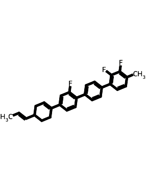 C/C=C/C1CC=C(c2ccc(-c3ccc(-c4ccc(C)c(F)c4F)cc3)c(F)c2)CC1